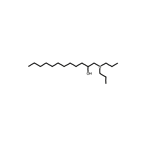 CCCCCCCCCCC(O)CN(CCC)CCC